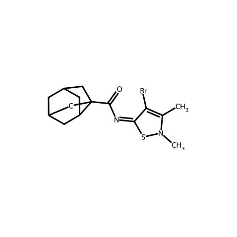 Cc1c(Br)c(=NC(=O)C23CC4CC(CC2C4)C3)sn1C